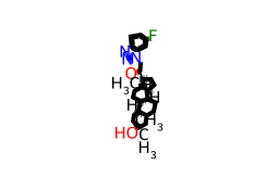 CC1(O)CC[C@@]2(C)C(CC[C@H]3[C@@H]4CC[C@H](C(=O)Cn5nnc6ccc(F)cc65)[C@@]4(C)CC[C@@H]32)C1